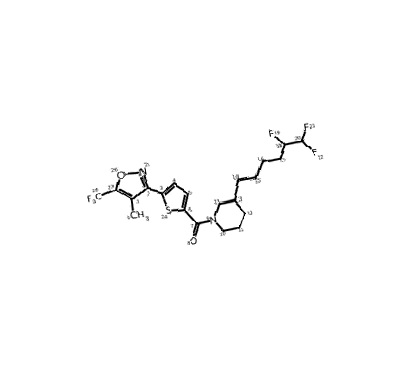 Cc1c(-c2ccc(C(=O)N3CCCC(CCCCC(F)C(F)F)C3)s2)noc1C(F)(F)F